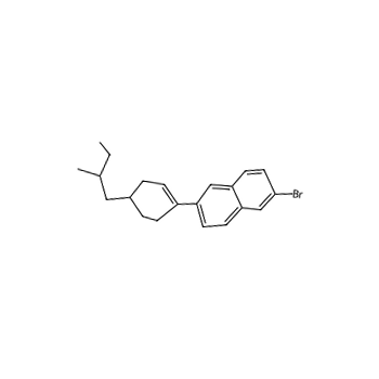 CCC(C)CC1CC=C(c2ccc3cc(Br)ccc3c2)CC1